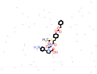 CC(=O)SC(Cc1ccc(OC(=O)OCc2ccccc2)cc1)C(=O)NCC(=O)N1C(C(=O)O)CCC1c1ccc(N)cc1